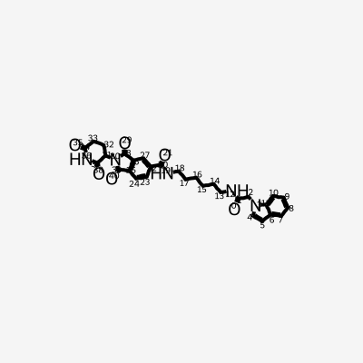 O=C(Cn1ccc2ccccc21)NCCCCCCNC(=O)c1ccc2c(c1)C(=O)N(C1CCC(=O)NC1=O)C2=O